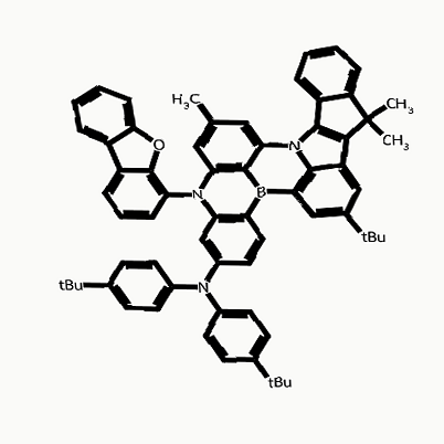 Cc1cc2c3c(c1)-n1c4c(c5cc(C(C)(C)C)cc(c51)B3c1ccc(N(c3ccc(C(C)(C)C)cc3)c3ccc(C(C)(C)C)cc3)cc1N2c1cccc2c1oc1ccccc12)C(C)(C)c1ccccc1-4